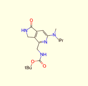 CC(C)N(C)c1cc2c(c(CNC(=O)OC(C)(C)C)n1)CNC2=O